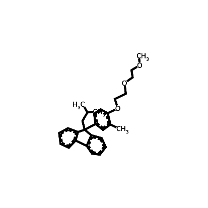 COCCOCCOc1ccc(C2(CC(C)C)c3ccccc3-c3ccccc32)cc1C